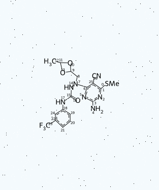 CSc1nc(N)nc(N(CC2OC(C)O2)NC(=O)Nc2cccc(C(F)(F)F)c2)c1C#N